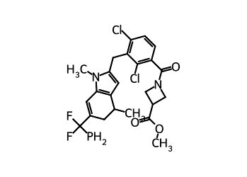 COC(=O)C1CN(C(=O)c2ccc(Cl)c(Cc3cc4c(n3C)C=C(C(F)(F)P)CC4C)c2Cl)C1